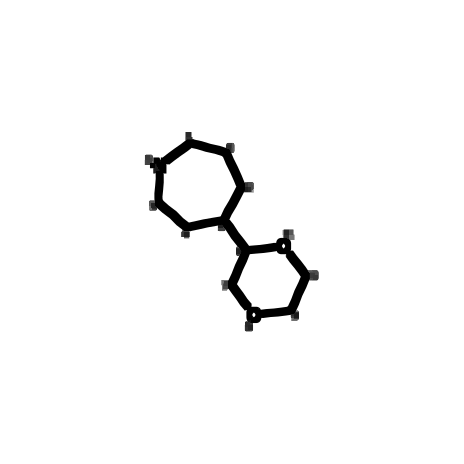 C1C[N]CCC(C2COCCO2)C1